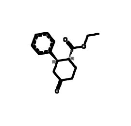 CCOC(=O)[C@@H]1CCC(=O)C[C@H]1c1ccccc1